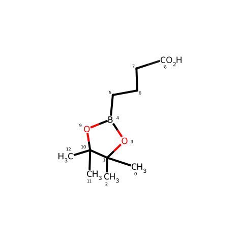 CC1(C)OB(CCCC(=O)O)OC1(C)C